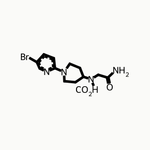 NC(=O)CN(C(=O)O)C1CCN(c2ccc(Br)cn2)CC1